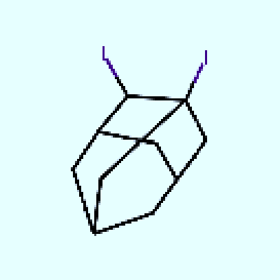 IC1C2CC3CC(C2)CC1(I)C3